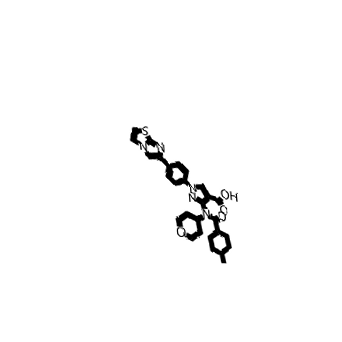 CC1CCC(C(=O)N(c2nn(-c3ccc(-c4cn5ccsc5n4)cc3)cc2C(=O)O)C2CCOCC2)CC1